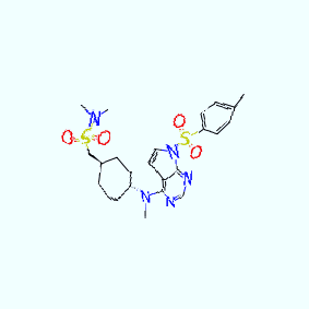 Cc1ccc(S(=O)(=O)n2ccc3c(N(C)[C@H]4CC[C@H](CS(=O)(=O)N(C)C)CC4)ncnc32)cc1